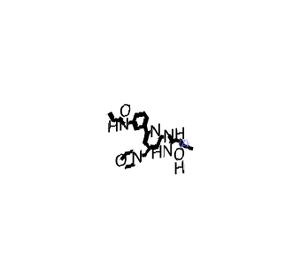 C=CC(=O)Nc1cccc(-c2cc(CN3CCOCC3)cc(NC(=N)/C=C(/C)O)n2)c1